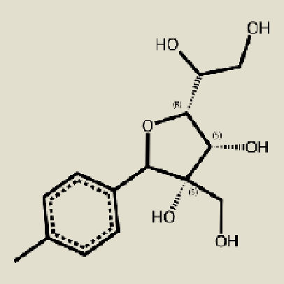 Cc1ccc(C2O[C@H](C(O)CO)[C@H](O)[C@@]2(O)CO)cc1